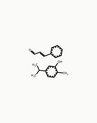 Cc1ccc(C(C)C)cc1O.O=C/C=C/c1ccccc1